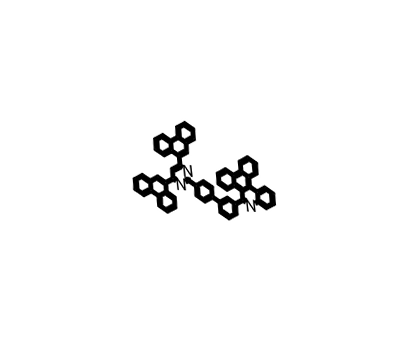 c1cc(-c2ccc(-c3nc(-c4cc5ccccc5c5ccccc45)cc(-c4cc5ccccc5c5ccccc45)n3)cc2)cc(-c2nc3ccccc3c3c4ccccc4c4ccccc4c23)c1